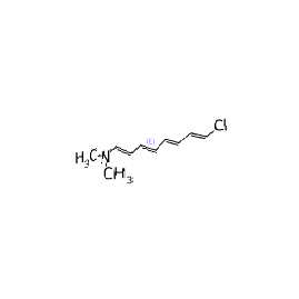 CN(C)C=C/C=[C]/C=CC=CCl